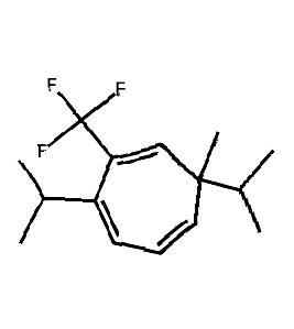 CC(C)C1=CC=CC(C)(C(C)C)C=C1C(F)(F)F